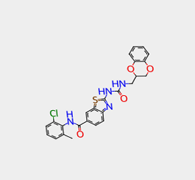 Cc1cccc(Cl)c1NC(=O)c1ccc2nc(NC(=O)NCC3COc4ccccc4O3)sc2c1